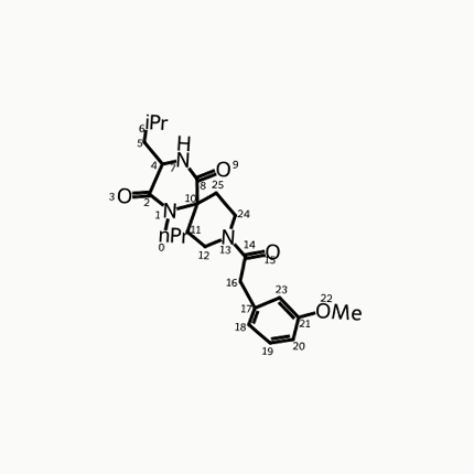 CCCN1C(=O)C(CC(C)C)NC(=O)C12CCN(C(=O)Cc1cccc(OC)c1)CC2